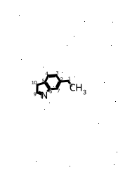 CCc1ccc2c(c1)N=CC2